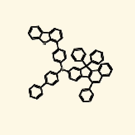 c1ccc(-c2ccc(N(c3ccc(-c4cccc5c4sc4ccccc45)cc3)c3ccc4c(c3)C(c3ccccc3)(c3ccccc3)c3c-4c(-c4ccccc4)cc4ccccc34)cc2)cc1